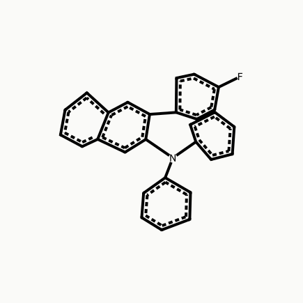 Fc1ccc(-c2cc3ccccc3cc2N(c2ccccc2)c2ccccc2)cc1